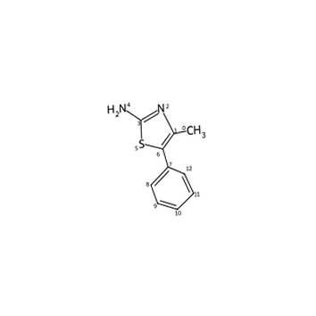 Cc1nc(N)sc1-c1ccccc1